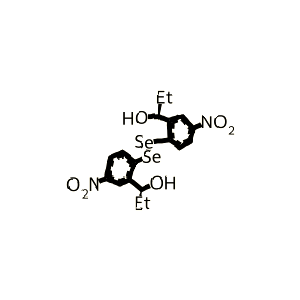 CC[C@H](O)c1cc([N+](=O)[O-])ccc1[Se][Se]c1ccc([N+](=O)[O-])cc1[C@@H](O)CC